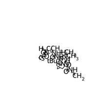 C=CCNC(=O)C(=O)C(CC1CC1)NC(=O)[C@@H]1[C@@H]2[C@H](CN1C(=O)[C@@H](NC(=O)N[C@H](CN(CC1CC1)S(=O)(=O)c1cccs1)C(=C)C)C(C)(C)C)C2(C)C